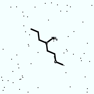 CCCN(N)CCOC